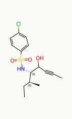 CC#CC(O)[C@@H](NS(=O)(=O)c1ccc(Cl)cc1)[C@@H](C)CC